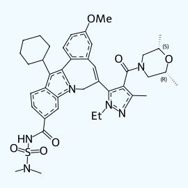 CCn1nc(C)c(C(=O)N2C[C@@H](C)O[C@@H](C)C2)c1C1=Cc2cc(OC)ccc2-c2c(C3CCCCC3)c3ccc(C(=O)NS(=O)(=O)N(C)C)cc3n2C1